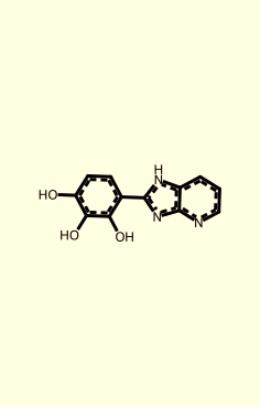 Oc1ccc(-c2nc3ncccc3[nH]2)c(O)c1O